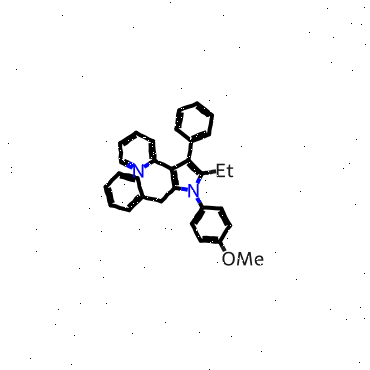 CCc1c(-c2ccccc2)c(-c2ccccn2)c(Cc2ccccc2)n1-c1ccc(OC)cc1